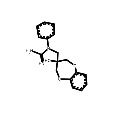 N=C(N)N(CC1(O)COc2ccccc2OC1)c1ccccc1